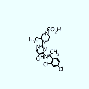 CC1CN(C(=O)O)CCN1c1ncc(Cl)c(N[C@H](C)c2ccc(Cl)cc2Cl)n1